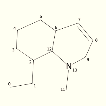 CCC1CCCC2C=CCN(C)C21